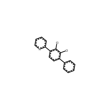 Clc1c(-c2ccccc2)[c]cc(-c2ccccn2)c1Cl